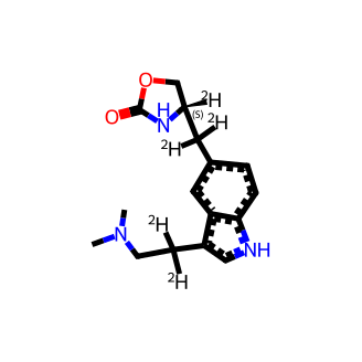 [2H]C([2H])(CN(C)C)c1c[nH]c2ccc(C([2H])([2H])[C@@]3([2H])COC(=O)N3)cc12